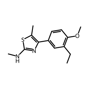 CCc1cc(-c2nc(NC)sc2C)ccc1OC